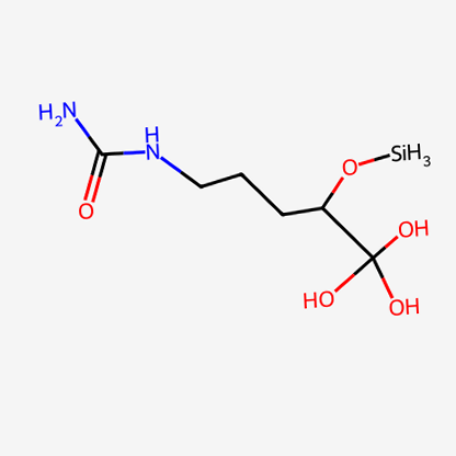 NC(=O)NCCCC(O[SiH3])C(O)(O)O